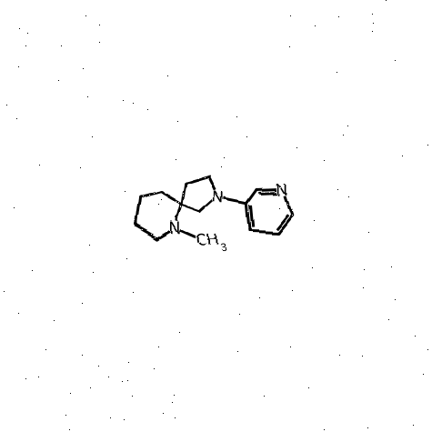 CN1CCCCC12CCN(c1cccnc1)C2